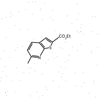 CCOC(=O)c1cc2ccc(C)nc2s1